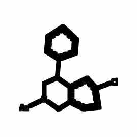 CC(=O)N1Cc2ccc(Cl)cc2C(c2ccccc2)C1